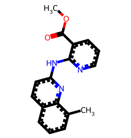 COC(=O)c1cccnc1Nc1ccc2cccc(C)c2n1